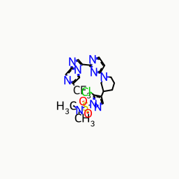 CN(C)S(=O)(=O)n1ncc(C2CCCN(c3ccnc(-c4cnc5cnc(C(F)(F)F)cn45)n3)C2)c1Cl